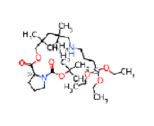 CCO[Si](CCCNCC(C)(C)CC(C)(C)COC(=O)[C@@H]1CCCN1C(=O)OC(C)(C)C)(OCC)OCC